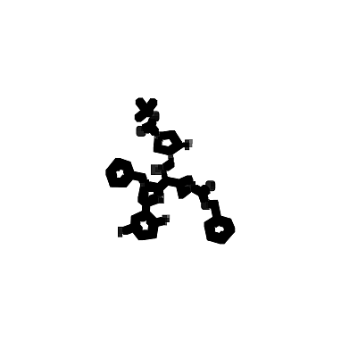 CC(C)(C)OC(=O)N1C[C@@H](CN[C@@H](c2nc(-c3cc(F)ccc3F)cn2Cc2ccccc2)C2CN(C(=O)OCc3ccccc3)C2)[C@@H](F)C1